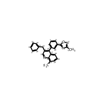 Cc1noc(-c2cccc(-c3c(Cc4ccccc4)cnc4c(C(F)(F)F)cccc34)c2)n1